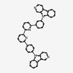 c1cc(-c2cccc(-c3cccc(-c4ccc(-n5c6ccccc6c6cnccc65)cc4)n3)n2)cc(-n2c3ccccc3c3ccncc32)c1